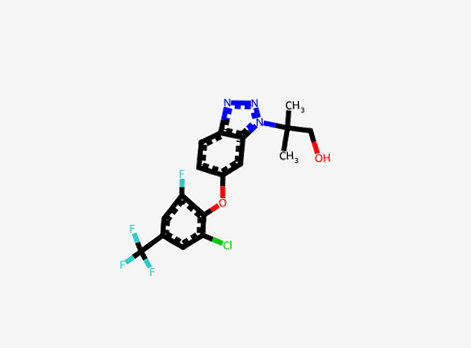 CC(C)(CO)n1nnc2ccc(Oc3c(F)cc(C(F)(F)F)cc3Cl)cc21